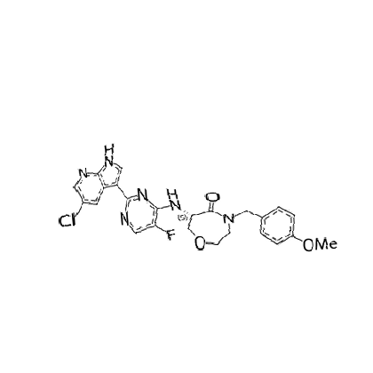 COc1ccc(CN2CCOC[C@H](Nc3nc(-c4c[nH]c5ncc(Cl)cc45)ncc3F)C2=O)cc1